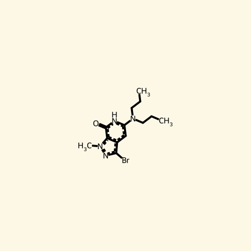 CCCN(CCC)c1cc2c(Br)nn(C)c2c(=O)[nH]1